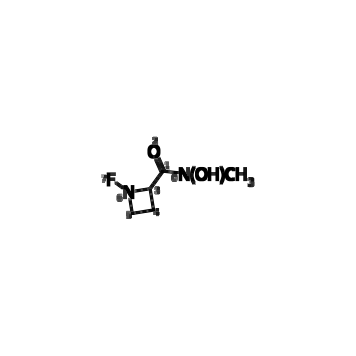 CN(O)C(=O)C1CCN1F